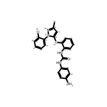 Bc1ccc(NC(=O)Nc2ccccc2Oc2cc(C)nn2-c2ccccc2Cl)cc1